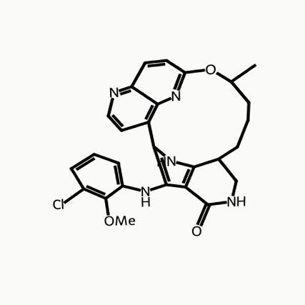 COc1c(Cl)cccc1Nc1c2[nH]c3c1C(=O)NCC3CCCC(C)Oc1ccc3nccc-2c3n1